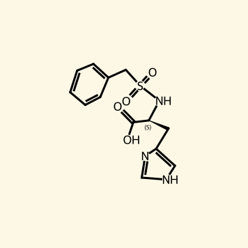 O=C(O)[C@H](Cc1c[nH]cn1)NS(=O)(=O)Cc1ccccc1